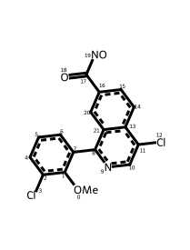 COc1c(Cl)cccc1-c1ncc(Cl)c2ccc(C(=O)N=O)cc12